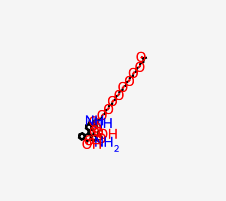 CC(=O)CCOCCOCCOCCOCCOCCOCCOCCOCCNS(=O)(=O)c1c2oc3c(S(=O)(=O)O)c(N)ccc3c(-c3ccccc3C(=O)O)c-2ccc1=N